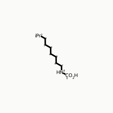 CC(C)CCCCCCCNC(=O)O